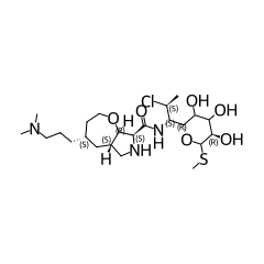 CSC1O[C@H]([C@H](NC(=O)[C@H]2NC[C@@H]3C[C@H](CCCN(C)C)CCO[C@H]32)[C@H](C)Cl)C(O)C(O)[C@H]1O